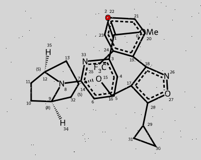 COC(=O)c1cccc(N2[C@@H]3CC[C@H]2C[C@H](OCc2c(-c4ccccc4C(F)(F)F)noc2C2CC2)C3)n1